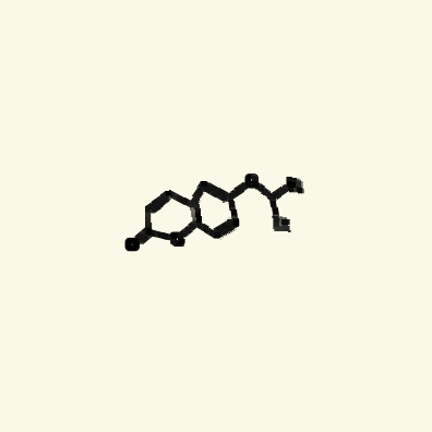 CCC(CC)Oc1ccc2oc(=O)ccc2c1